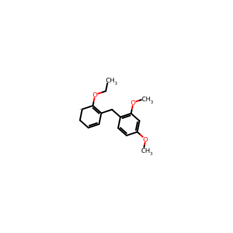 CCOC1=C(Cc2ccc(OC)cc2OC)C=CC[CH]1